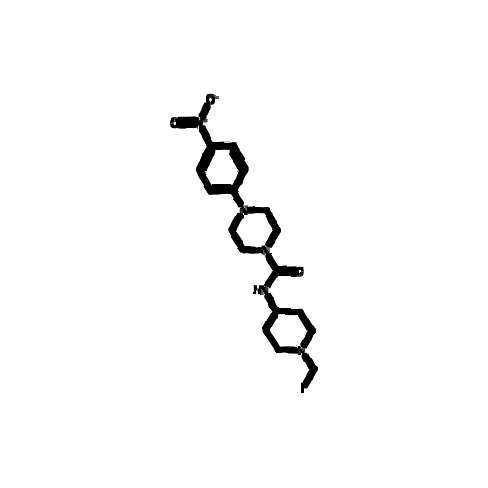 O=C(NC1CCN(CI)CC1)N1CCN(c2ccc([N+](=O)[O-])cc2)CC1